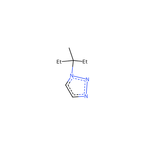 CCC(C)(CC)n1ccnn1